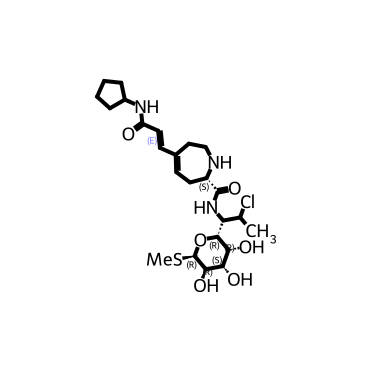 CS[C@H]1O[C@H](C(NC(=O)[C@@H]2CC=C(/C=C/C(=O)NC3CCCC3)CCN2)C(C)Cl)[C@H](O)[C@H](O)[C@H]1O